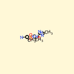 Cc1cnc2c(C(=O)N3CCN(S(=O)(=O)c4ccc(C#N)cc4C)C[C@@H]3C)cnn2c1